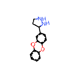 c1ccc2c(c1)Oc1ccc(C3CCNN3)cc1O2